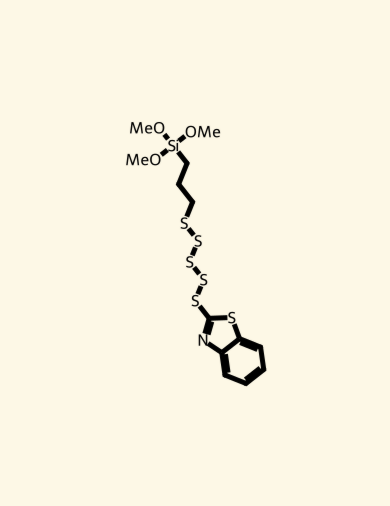 CO[Si](CCCSSSSSc1nc2ccccc2s1)(OC)OC